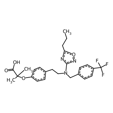 CCCc1nc(N(CCc2ccc(OC(C)(C)C(=O)O)cc2)Cc2ccc(C(F)(F)F)cc2)no1